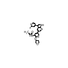 C=CC(=O)Nc1cc(-c2cnc3[nH]cc(-c4ccnc(F)c4)c3c2)cnc1OC1CCOC1